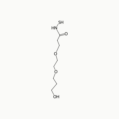 O=C(CCOCCOCCCO)NS